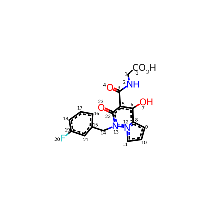 O=C(O)CNC(=O)c1c(O)c2cccn2n(Cc2cccc(F)c2)c1=O